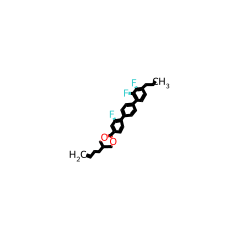 C=CCCC1COC(c2ccc(-c3ccc(-c4ccc(CCC)c(F)c4F)cc3)c(F)c2)OC1